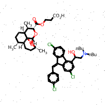 CCCCN(CCCC)CC(O)c1cc(Cl)cc2c1-c1ccc(Cl)cc1/C2=C/c1ccc(Cl)cc1.C[C@H]1[C@H](C(=O)OCCC(=O)O)O[C@@H]2O[C@]3(C)CC[C@H]4[C@H](C)CC[C@@H]1C24OO3